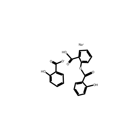 O=C(Oc1ccccc1C(=O)O)c1ccccc1O.O=C([O-])c1ccccc1O.[Na+]